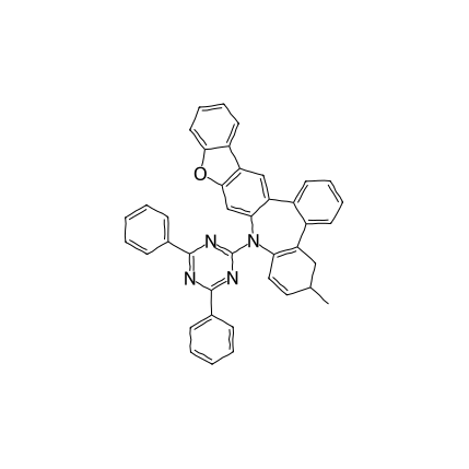 CC1C=CC2=C(C1)c1ccccc1-c1cc3c(cc1N2c1nc(-c2ccccc2)nc(-c2ccccc2)n1)oc1ccccc13